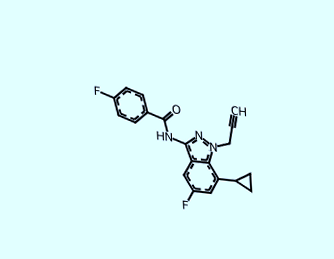 C#CCn1nc(NC(=O)c2ccc(F)cc2)c2cc(F)cc(C3CC3)c21